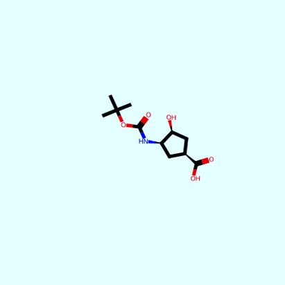 CC(C)(C)OC(=O)N[C@@H]1C[C@H](C(=O)O)C[C@@H]1O